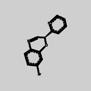 Brc1ccc2c(c1)O[C@H](c1ccccn1)C=N2